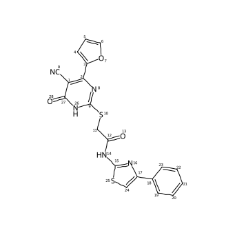 N#Cc1c(-c2ccco2)nc(SCC(=O)Nc2nc(-c3ccccc3)cs2)[nH]c1=O